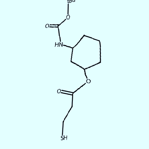 CC(C)(C)OC(=O)NC1CCCC(OC(=O)CCS)C1